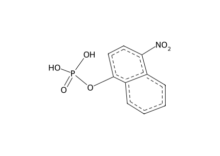 O=[N+]([O-])c1ccc(OP(=O)(O)O)c2ccccc12